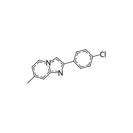 Cc1ccn2cc(-c3ccc(Cl)cc3)nc2c1